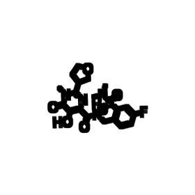 CN(C)S(=O)(=O)c1cc(F)ccc1CNC(=O)c1nc(C2CCOC2)n(C)c(=O)c1O